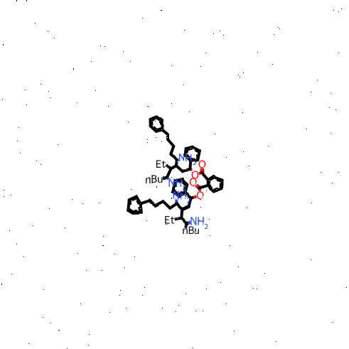 CCCCC(N)C(CC)C(CC(OC(=O)c1ccccc1C(=O)OC(CC(C(N)CCCCc1ccccc1)C(CC)C(N)CCCC)c1ccccc1)c1ccccc1)C(N)CCCCc1ccccc1